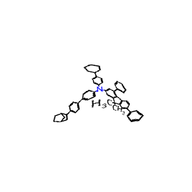 CC1(C)c2cc(-c3ccccc3)ccc2-c2c(-c3ccccc3)cc(N(c3ccc(-c4ccc(C5CC6CCC5C6)cc4)cc3)c3ccc(C4CCCCC4)cc3)cc21